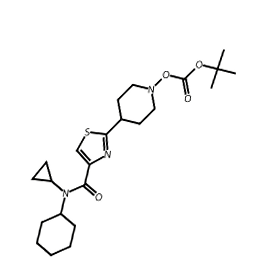 CC(C)(C)OC(=O)ON1CCC(c2nc(C(=O)N(C3CCCCC3)C3CC3)cs2)CC1